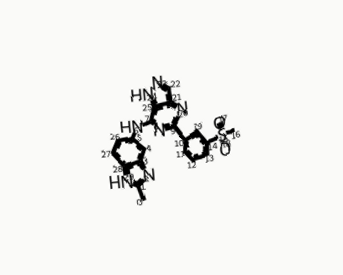 Cc1nc2cc(Nc3nc(-c4cccc(S(C)(=O)=O)c4)nc4cn[nH]c34)ccc2[nH]1